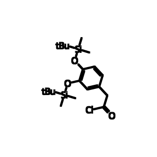 CC(C)(C)[Si](C)(C)Oc1ccc(CC(=O)Cl)cc1O[Si](C)(C)C(C)(C)C